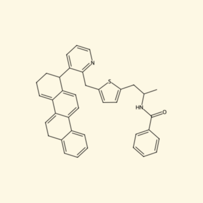 CC(Cc1ccc(Cc2ncccc2C2CCC=c3c2ccc2c3=CCc3ccccc3-2)s1)NC(=O)c1ccccc1